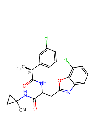 C[C@H](C(=O)NC(Cc1nc2cccc(Cl)c2o1)C(=O)NC1(C#N)CC1)c1cccc(Cl)c1